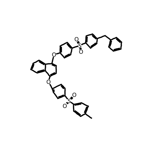 Cc1ccc(S(=O)(=O)c2ccc(Oc3ccc(Oc4ccc(S(=O)(=O)c5ccc(Cc6ccccc6)cc5)cc4)c4ccccc34)cc2)cc1